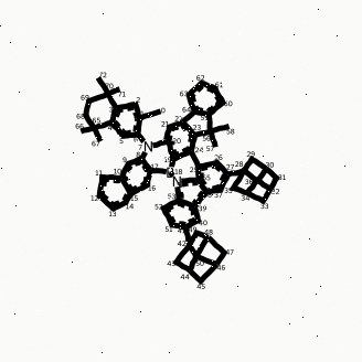 Cc1cc2c(cc1N1c3cc4ccccc4cc3B3c4c1cc1c(c4-c4cc(C56CC7CC8CC(C5)C876)cc5c6cc(C78CC9CC%10CC(C7)C%1098)ccc6n3c45)C(C)(C)c3ccccc3-1)C(C)(C)CCC2(C)C